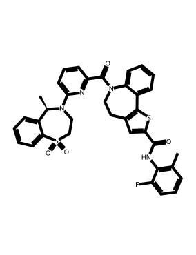 Cc1cccc(F)c1NC(=O)c1cc2c(s1)-c1ccccc1N(C(=O)c1cccc(N3CCS(=O)(=O)c4ccccc4[C@H]3C)n1)CC2